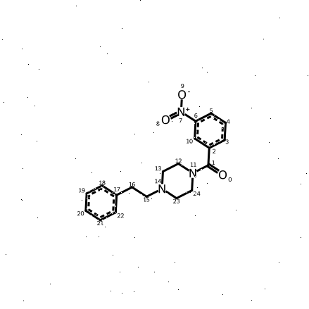 O=C(c1cccc([N+](=O)[O-])c1)N1CCN(CCc2ccccc2)CC1